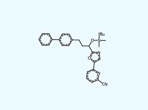 CC(C)(C)[Si](C)(C)OC(CCc1ccc(-c2ccccc2)cc1)c1ncc(-c2cccc(C#N)n2)o1